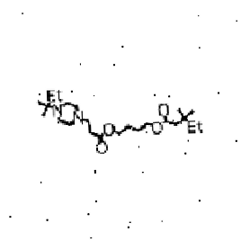 CCC(C)(C)CC(=O)OCCCCOC(=O)CCN1CCN(C(C)(C)CC)CC1